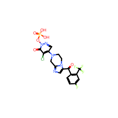 O=C(c1ccc(F)cc1C(F)(F)F)c1cnc2n1CCN(c1cnn(OP(=O)(O)O)c(=O)c1Cl)C2